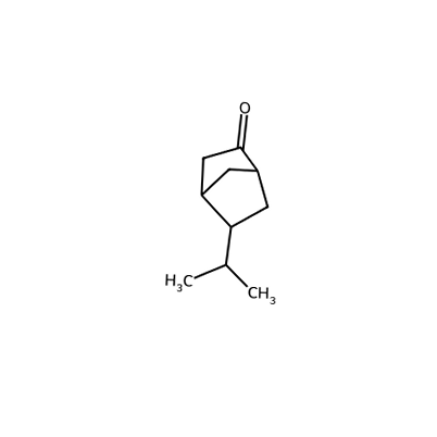 CC(C)C1CC2CC1CC2=O